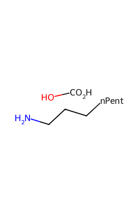 CCCCCCCCN.O=C(O)O